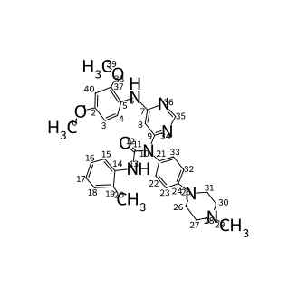 COc1ccc(Nc2cc(N(C(=O)Nc3ccccc3C)c3ccc(N4CCN(C)CC4)cc3)ncn2)c(OC)c1